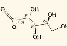 O=C1O[C@H]1[C@H](O)[C@H](O)[C@@H](O)CO